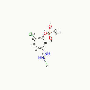 CS(=O)(=O)Oc1cc(NNF)ccc1Cl